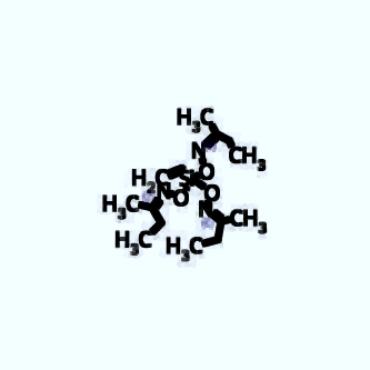 C=C[Si](O/N=C(/C)CC)(O/N=C(/C)CC)O/N=C(\C)CC